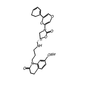 COc1ccc2c(c1)N(CCCNC[C@@H]1CN(C3=COC=C(C4=CC=CCC4)O3)C(=O)O1)C(=O)CC2